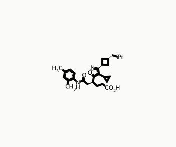 Cc1ccc(NC(=O)C[C@H](CCC(=O)O)c2onc([C@H]3C[C@@H](CC(C)C)C3)c2C2CC2)c(C)c1